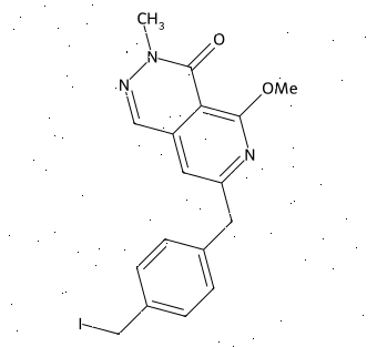 COc1nc(Cc2ccc(CI)cc2)cc2cnn(C)c(=O)c12